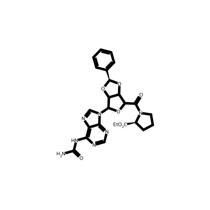 CCOC(=O)[C@@H]1CCCN1C(=O)C1OC(n2cnc3c(NC(N)=O)ncnc32)C2O[C@@H](c3ccccc3)OC12